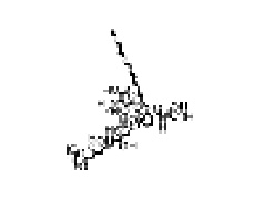 C/C=C/C=C/C=C/C=C/C=C/C=C/C=C/C(C[C@@H]1O[C@](O)(C[C@@H](O)C[C@@H](O)[C@H](O)CC[C@@H](O)C[C@@H](O)CC(=O)O[C@@H](C)[C@H](C)CO)CC[C@H]1C(=O)NC(CO)CO)OC1OC(C)C(O)C(N)C1O